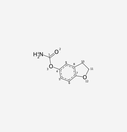 NC(=O)Oc1ccc2c(c1)CCO2